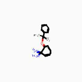 NC1(N)C=CC=CC1OC(c1ccccc1)(C(F)(F)F)C(F)(F)F